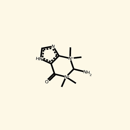 C[N+]1(C)C(=O)c2[nH]cnc2[N+](C)(C)C1N